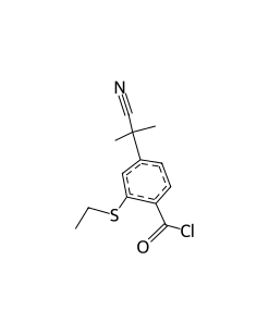 CCSc1cc(C(C)(C)C#N)ccc1C(=O)Cl